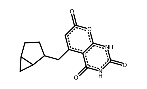 O=c1[nH]c(=O)c2c(CC3CCC4CC34)cc(=O)oc2[nH]1